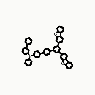 c1ccc(-c2cccc(N(c3ccccc3)c3ccc(-c4ccc(-c5cc(-c6ccc7c(c6)oc6ccccc67)cc(-c6ccc7c(c6)oc6ccccc67)c5)cc4)cc3)c2)cc1